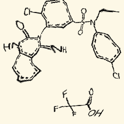 CCN(c1ccc(Cl)cc1)S(=O)(=O)c1ccc(Cl)c(-n2c(=O)[nH]c3ccccc3c2=N)c1.O=C(O)C(F)(F)F